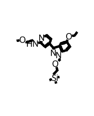 CCOc1ccc2c(c1)c(-c1ccnc(NCCOC)c1)nn2COCC[Si](C)(C)C